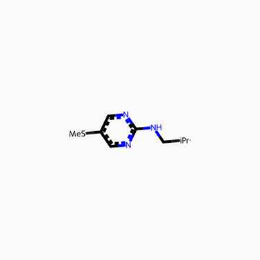 CSc1cnc(NC[C](C)C)nc1